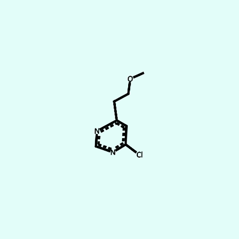 COCCc1cc(Cl)ncn1